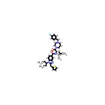 CCC(CC)n1c(Cc2cccs2)nc2cc(C(=O)N[C@@H](CC(C)C)C(=O)N3CCCN(Cc4ccc(F)cc4)CC3)ccc21